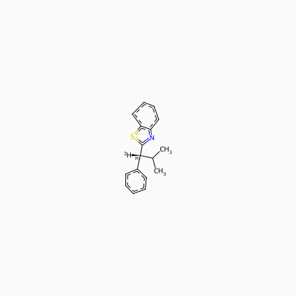 [2H][C@@](c1ccccc1)(c1nc2ccccc2s1)C(C)C